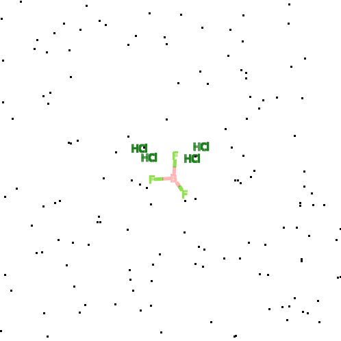 Cl.Cl.Cl.Cl.FB(F)F